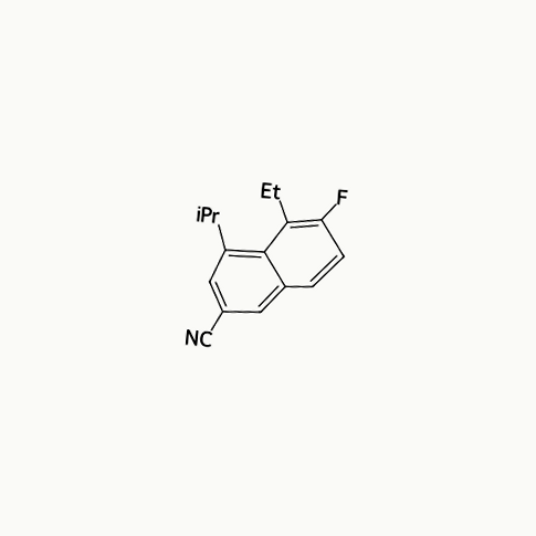 CCc1c(F)ccc2cc(C#N)cc(C(C)C)c12